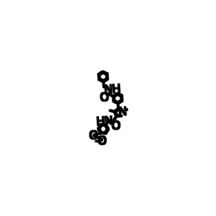 Cc1c(C(=O)Nc2ccc(S(C)(=O)=O)cc2)cn(C)c1-c1cccc(C(=O)NCc2ccccc2)c1